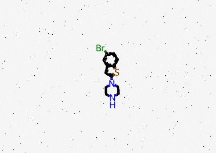 Brc1ccc2sc(N3CCNCC3)cc2c1